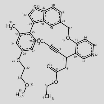 CC#CC(CC(=O)OCC)c1cnccc1OCc1ccc2scc(-c3ccc(OCCOC)cc3C)c2c1